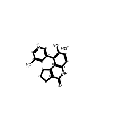 Cl.O=c1[nH]c2ccc(O)c(-c3cncc(O)c3)c2c2c1CCC2